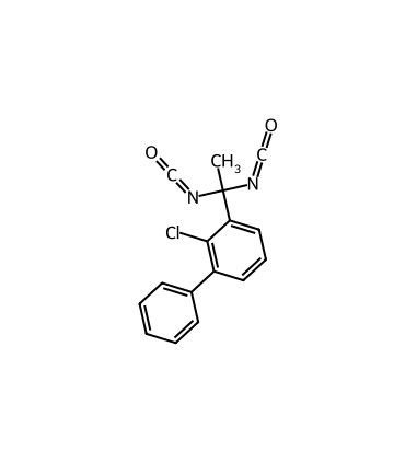 CC(N=C=O)(N=C=O)c1cccc(-c2ccccc2)c1Cl